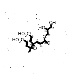 CC1(C=CC(=O)O)OC1(C=CC(=O)O)C=CC(=O)OCC(O)CO